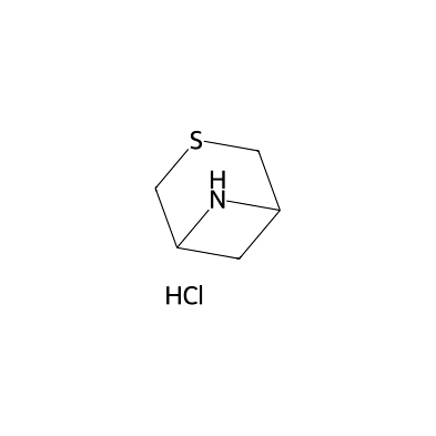 C1SCC2CC1N2.Cl